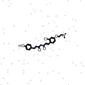 CN(C)CCOc1ccc(/C=C/C(=O)CC(=O)/C=C/c2ccc(O)cc2)c(Cl)c1